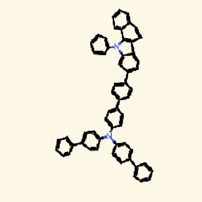 c1ccc(-c2ccc(N(c3ccc(-c4ccccc4)cc3)c3ccc(-c4ccc(-c5ccc6c7ccc8ccccc8c7n(-c7ccccc7)c6c5)cc4)cc3)cc2)cc1